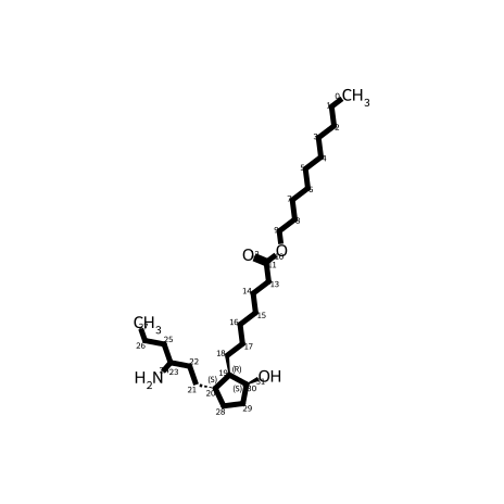 CCCCCCCCCCOC(=O)CCCCCC[C@@H]1[C@@H](CCC(N)CCC)CC[C@@H]1O